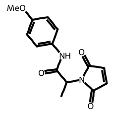 COc1ccc(NC(=O)C(C)N2C(=O)C=CC2=O)cc1